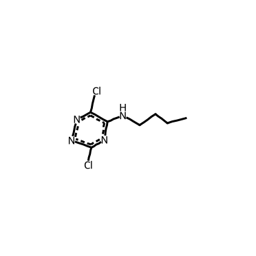 CCCCNc1nc(Cl)nnc1Cl